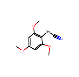 COc1cc(OC)c([Se]C#N)c(OC)c1